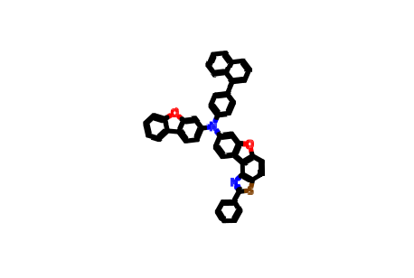 c1ccc(-c2nc3c(ccc4oc5cc(N(c6ccc(-c7cccc8ccccc78)cc6)c6ccc7c(c6)oc6ccccc67)ccc5c43)s2)cc1